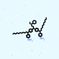 CCCCCCCCCCC(c1ccc(N)cc1)c1ccc(C(CCC(CC)C2CCCCC2)c2ccc(C(CCCCCCCCCC)c3ccc(N)cc3)cc2)cc1